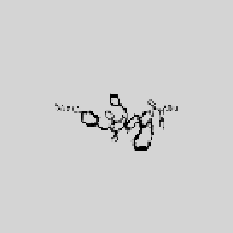 COc1ccc(CN2C(=O)N(CC3CCC3)C3(CC(COC(=O)NC(C)(C)C)(c4ccccc4)C3)C2=O)cc1